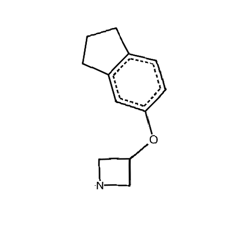 c1cc2c(cc1OC1C[N]C1)CCC2